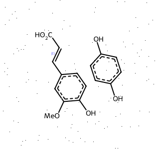 COc1cc(/C=C/C(=O)O)ccc1O.Oc1ccc(O)cc1